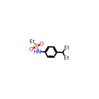 CCC(CC)c1ccc(NS(=O)(=O)CC)cc1